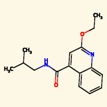 CCOc1cc(C(=O)NCC(C)C)c2ccccc2n1